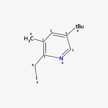 Cc1cc(C(C)(C)C)cnc1CI